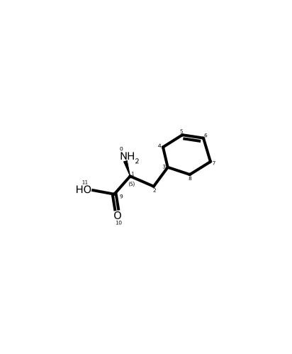 N[C@@H](CC1CC=CCC1)C(=O)O